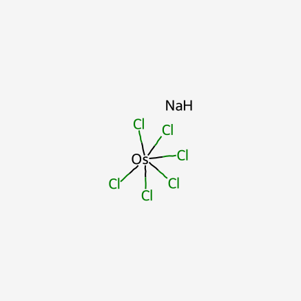 [Cl][Os]([Cl])([Cl])([Cl])([Cl])[Cl].[NaH]